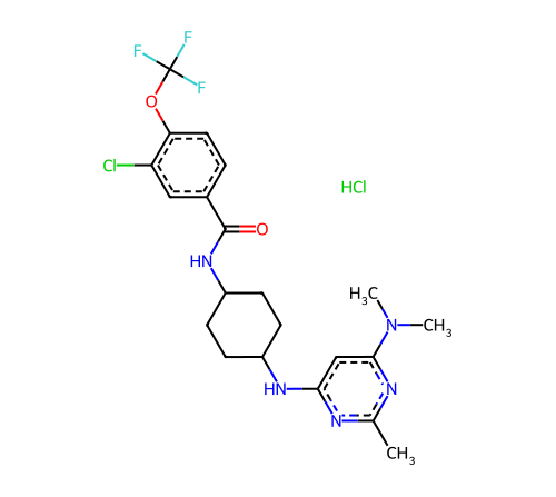 Cc1nc(NC2CCC(NC(=O)c3ccc(OC(F)(F)F)c(Cl)c3)CC2)cc(N(C)C)n1.Cl